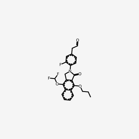 CCCOc1c2c(c(OC(F)F)c3ccccc13)CN(c1ccc(CC=O)cc1F)C2=O